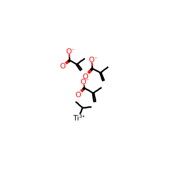 C=C(C)C(=O)[O-].C=C(C)C(=O)[O-].C=C(C)C(=O)[O-].C[CH](C)[Ti+3]